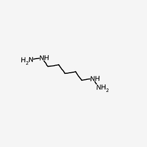 NNCCCCCNN